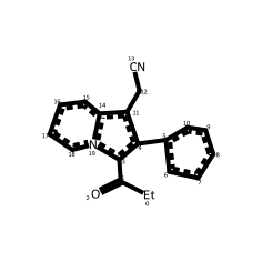 CCC(=O)c1c(-c2ccccc2)c(CC#N)c2ccccn12